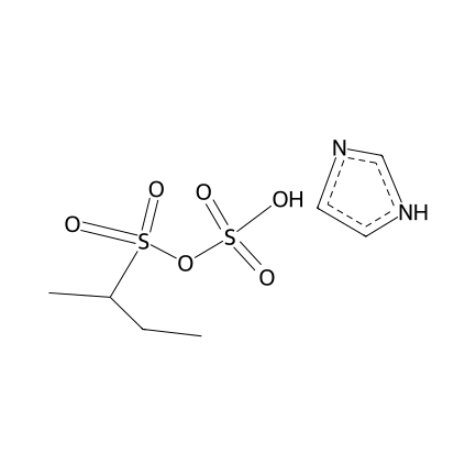 CCC(C)S(=O)(=O)OS(=O)(=O)O.c1c[nH]cn1